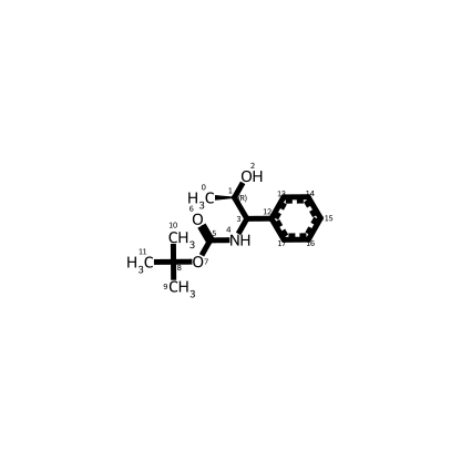 C[C@@H](O)C(NC(=O)OC(C)(C)C)c1ccccc1